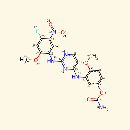 COc1ccc(OC(N)=O)cc1Nc1ccnc(Nc2cc([N+](=O)[O-])c(F)cc2OC)n1